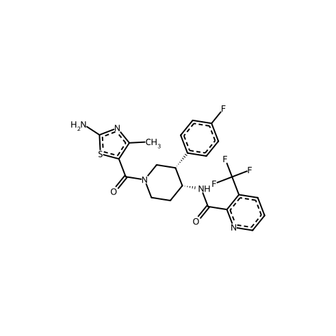 Cc1nc(N)sc1C(=O)N1CC[C@@H](NC(=O)c2ncccc2C(F)(F)F)[C@@H](c2ccc(F)cc2)C1